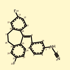 N#CNc1cccc(C=C2c3ccc(F)cc3CCc3cc(F)ccc32)c1